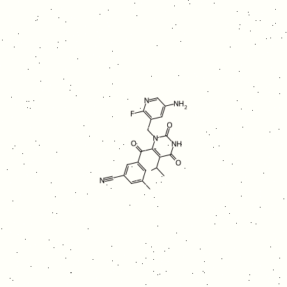 Cc1cc(C#N)cc(C(=O)c2c(C(C)C)c(=O)[nH]c(=O)n2Cc2cc(N)cnc2F)c1